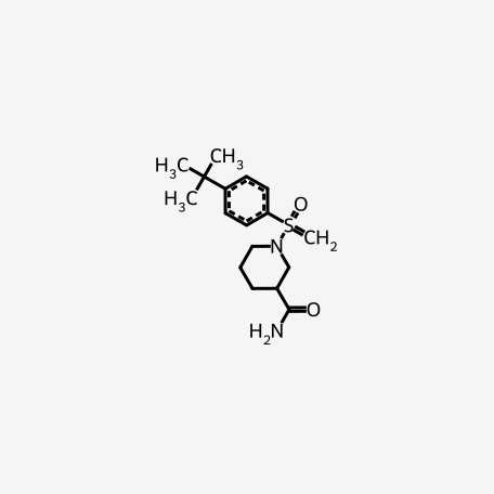 C=S(=O)(c1ccc(C(C)(C)C)cc1)N1CCCC(C(N)=O)C1